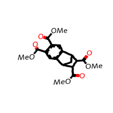 COC(=O)c1cc2c(cc1C(=O)OC)C1CC2C(C(=O)OC)C1C(=O)OC